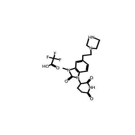 Cn1c(=O)n(C2CCC(=O)NC2=O)c2ccc(CCN3CCNCC3)cc21.O=C(O)C(F)(F)F